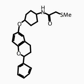 CSCC(=O)NC1CCC(Oc2ccc3c(c2)CCC(c2ccccc2)O3)CC1